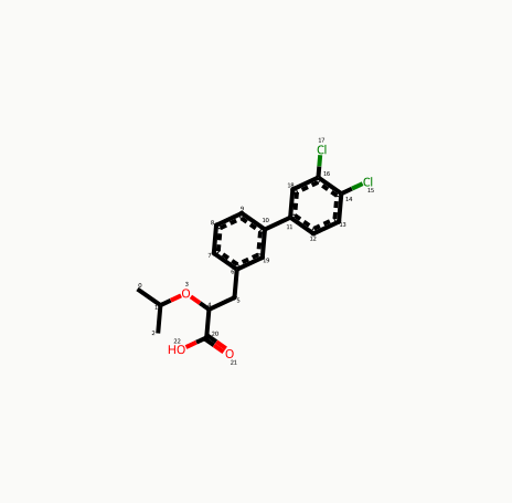 CC(C)OC(Cc1cccc(-c2ccc(Cl)c(Cl)c2)c1)C(=O)O